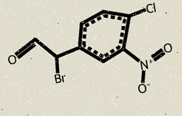 O=CC(Br)c1ccc(Cl)c([N+](=O)[O-])c1